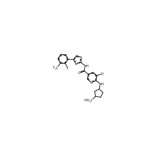 O=C(Nc1nc(-c2cccc(C(F)(F)F)c2F)cs1)c1cnc(NC2CCC(C(=O)O)C2)c(Cl)c1